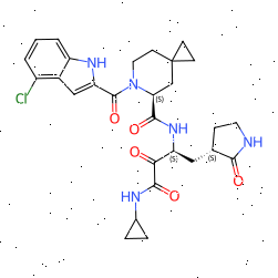 O=C(NC1CC1)C(=O)[C@H](C[C@@H]1CCNC1=O)NC(=O)[C@@H]1CC2(CCN1C(=O)c1cc3c(Cl)cccc3[nH]1)CC2